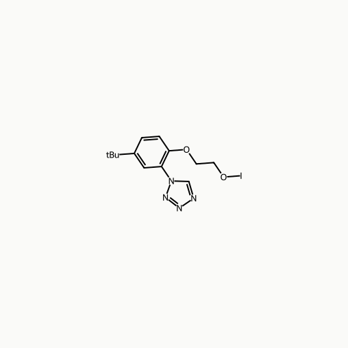 CC(C)(C)c1ccc(OCCOI)c(-n2cnnn2)c1